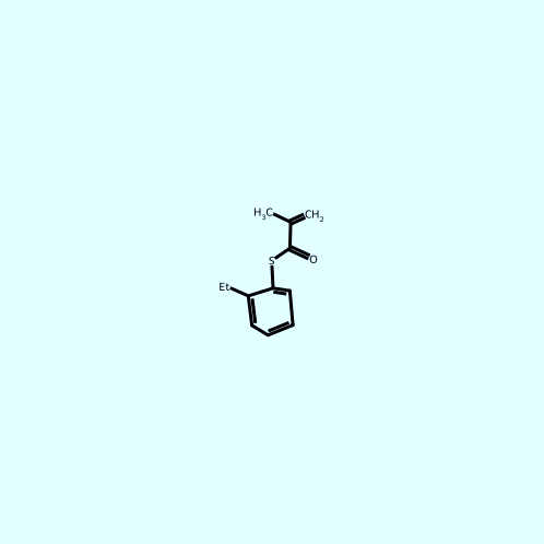 C=C(C)C(=O)Sc1ccccc1CC